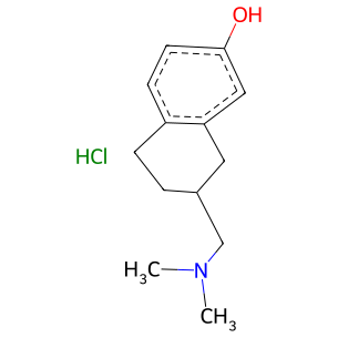 CN(C)CC1CCc2ccc(O)cc2C1.Cl